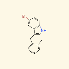 Cc1ccccc1Cc1c[nH]c2ccc(Br)cc12